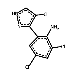 Nc1c(Cl)cc(Cl)cc1-c1n[nH]cc1Cl